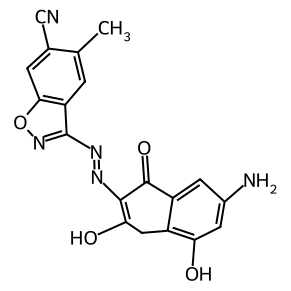 Cc1cc2c(N=NC3=C(O)Cc4c(O)cc(N)cc4C3=O)noc2cc1C#N